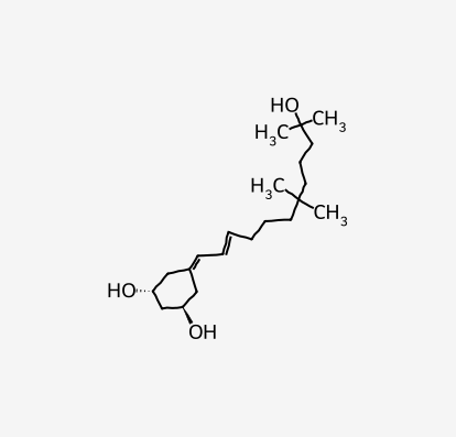 CC(C)(O)CCCC(C)(C)CCC/C=C/C=C1C[C@@H](O)C[C@H](O)C1